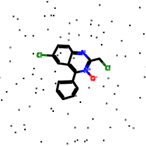 [O-][n+]1c(CCl)nc2ccc(Cl)cc2c1-c1ccccc1